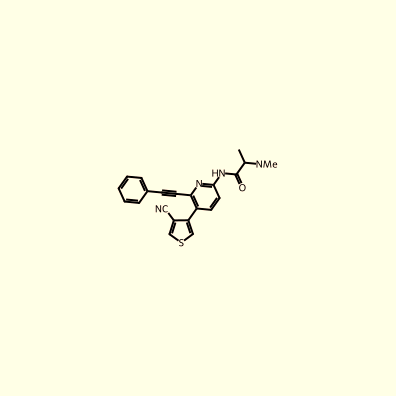 CNC(C)C(=O)Nc1ccc(-c2cscc2C#N)c(C#Cc2ccccc2)n1